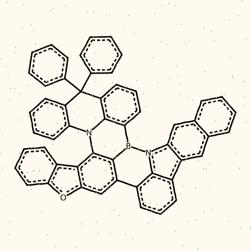 c1ccc(C2(c3ccccc3)c3ccccc3N3c4c(cccc42)B2c4c(cc5oc6ccccc6c5c43)-c3cccc4c5cc6ccccc6cc5n2c34)cc1